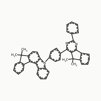 CC1(C)c2ccccc2-c2c1ccc1c2c2ccccc2n1-c1ccc(-c2nc(-c3ccccc3)nc3c2C(C)(C)c2ccccc2-3)cc1